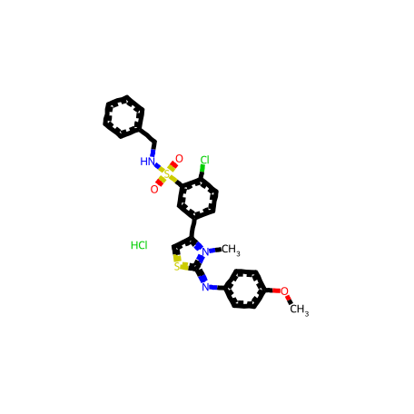 COc1ccc(/N=c2/scc(-c3ccc(Cl)c(S(=O)(=O)NCc4ccccc4)c3)n2C)cc1.Cl